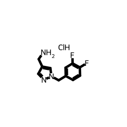 Cl.NCc1cnn(Cc2ccc(F)c(F)c2)c1